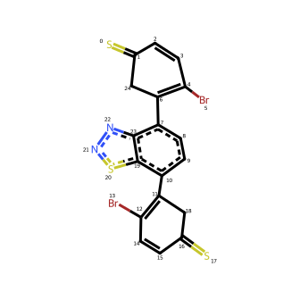 S=C1C=CC(Br)=C(c2ccc(C3=C(Br)C=CC(=S)C3)c3snnc23)C1